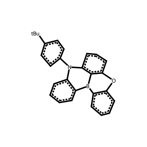 CC(C)(C)c1ccc(N2c3ccccc3B3c4ccccc4Oc4cccc2c43)cc1